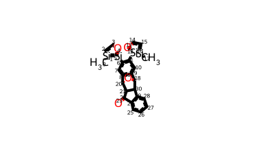 C[si]1cco[si]1-c1cc2c(cc1-[si]1occ[si]1C)C1OC2C2C(=O)c3ccccc3C12